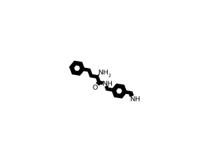 N=Cc1ccc(CNC(=O)[C@@H](N)CCc2ccccc2)cc1